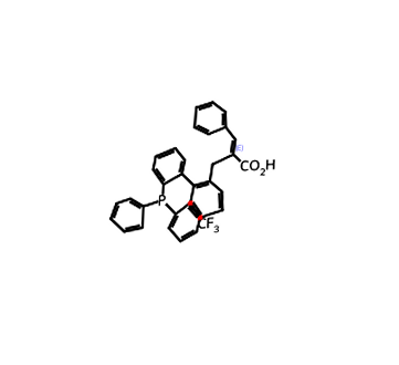 O=C(O)/C(=C/c1ccccc1)Cc1ccc(C(F)(F)F)cc1-c1ccccc1P(c1ccccc1)c1ccccc1